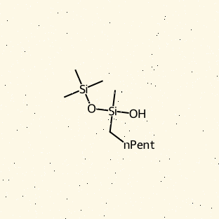 CCCCCC[Si](C)(O)O[Si](C)(C)C